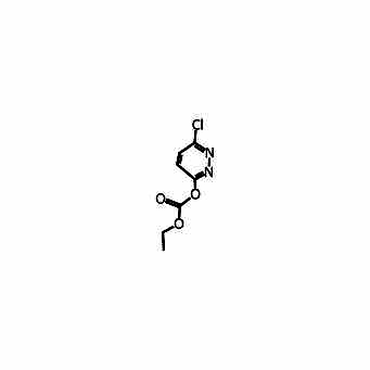 CCOC(=O)Oc1ccc(Cl)nn1